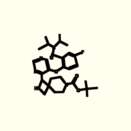 CC(C)N(C(=O)c1cc(F)ccc1Oc1cncnc1C1NCC12CCN(C(=O)OC(C)(C)C)CC2)C(C)C